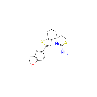 NC1=NC2(CCCc3sc(-c4ccc5c(c4)CCO5)cc32)CCS1